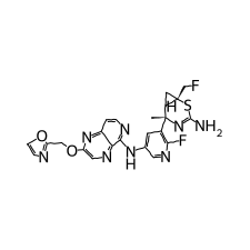 C[C@]1(c2cc(Nc3nccc4nc(OCc5ncco5)cnc34)cnc2F)N=C(N)S[C@@]2(CF)C[C@H]21